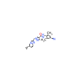 Cc1cc(C#N)cc(C)c1CNC(=O)c1cnn(Cc2cn3cc(C4CC4)ccc3n2)c1